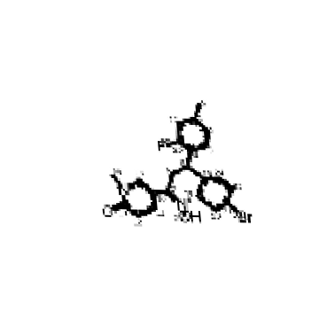 Cc1ccc(C(C/C(=N/O)c2ccc(=O)n(C)c2)c2ccc(Br)cc2)c(F)c1